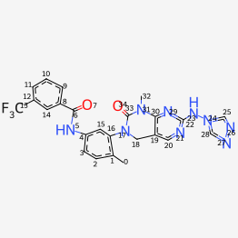 Cc1ccc(NC(=O)c2cccc(C(F)(F)F)c2)cc1N1Cc2cnc(Nn3cnnc3)nc2N(C)C1=O